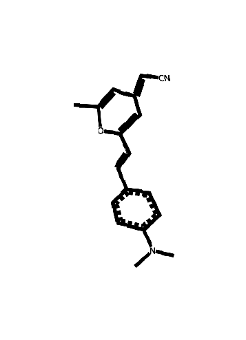 CC1=CC(=CC#N)C=C(C=Cc2ccc(N(C)C)cc2)O1